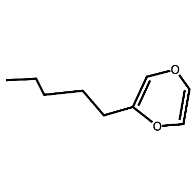 CCCCCC1=COC=CO1